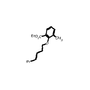 CCOC(=O)c1cccc(C)c1OCCCCC(C)C